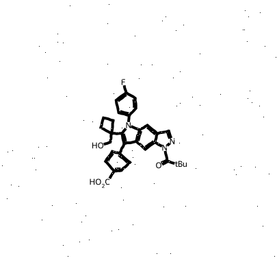 CC(C)(C)C(=O)n1ncc2cc3c(cc21)c(-c1ccc(C(=O)O)cc1)c(C1(CO)CCC1)n3-c1ccc(F)cc1